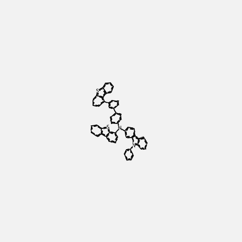 c1ccc(-n2c3ccccc3c3ccc(N(c4ccc(-c5cccc(-c6cccc7sc8ccccc8c67)c5)cc4)c4cccc5c4sc4ccccc45)cc32)cc1